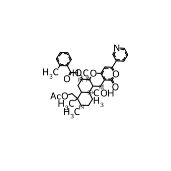 CC(=O)OCC1(C)C2C[C@H](OC(=O)c3ccccc3C)[C@@]3(C)Oc4cc(-c5cccnc5)oc(=O)c4[C@H](O)C3[C@@]2(C)CC[C@@H]1C